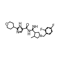 CC1CN(Cc2ccc(F)cc2F)CC1C(=N)NC(=O)c1cnc(C2CCOCC2)[nH]1